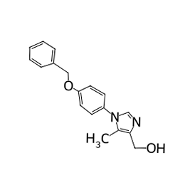 Cc1c(CO)ncn1-c1ccc(OCc2ccccc2)cc1